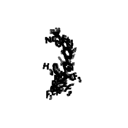 CCN(C(=O)c1cc(-c2cnn(-c3c(C(F)(F)F)c(OS(=O)(=O)C(F)(C(F)(F)F)C(F)(F)F)nn3C)c2)ccc1Cl)C1(C#N)CC1